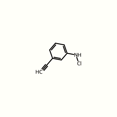 C#Cc1cccc(NCl)c1